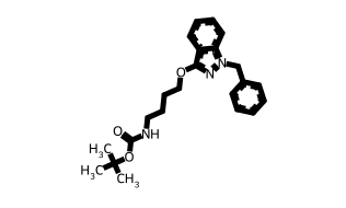 CC(C)(C)OC(=O)NCCCCOc1nn(Cc2ccccc2)c2ccccc12